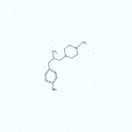 CC(Cc1ccc(C(C)(C)C)cc1)CN1CCN(C)CC1